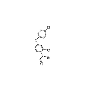 O=CC(Br)c1ccc(Oc2ccc(Cl)cc2)cc1Cl